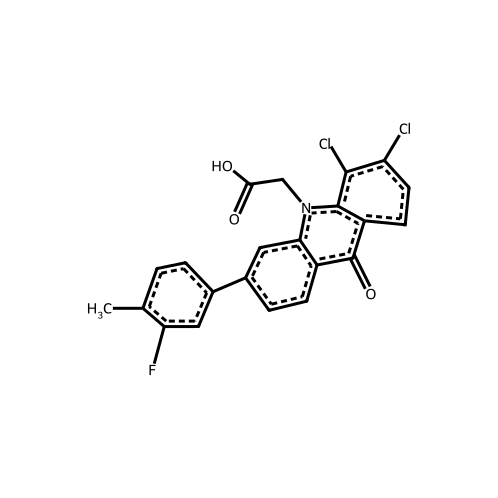 Cc1ccc(-c2ccc3c(=O)c4ccc(Cl)c(Cl)c4n(CC(=O)O)c3c2)cc1F